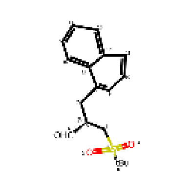 CC(C)(C)S(=O)(=O)C[C@@H]([C]=O)Cc1cccc2ccccc12